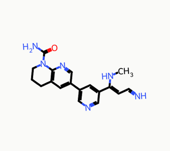 CN/C(=C\C=N)c1cncc(-c2cnc3c(c2)CCCN3C(N)=O)c1